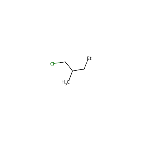 CCCC(C)CCl